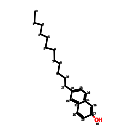 CCCCCCCCCCCCc1ccc2cc(O)ccc2c1